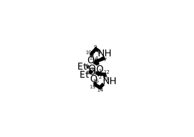 CCOC1(OC2(OCC)CNCCO2)CNCCO1